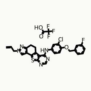 C=CCn1cc2c(n1)CCc1c-2sc2ncnc(Nc3ccc(OCc4cccc(F)c4)c(Cl)c3)c12.O=C(O)C(F)(F)F